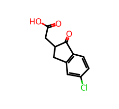 O=C(O)CC1Cc2cc(Cl)ccc2C1=O